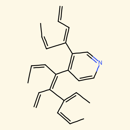 C=C/C=C(\C=C/C)c1cnccc1C(/C=C\C)=C(/C=C)C(=CC)/C=C\C